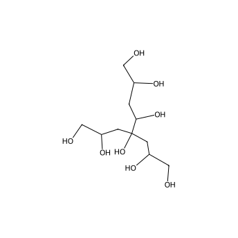 OCC(O)CC(O)C(O)(CC(O)CO)CC(O)CO